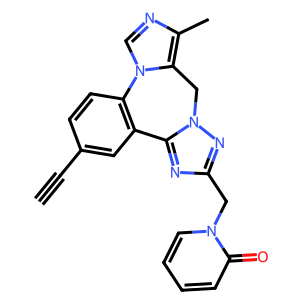 C#Cc1ccc2c(c1)-c1nc(Cn3ccccc3=O)nn1Cc1c(C)ncn1-2